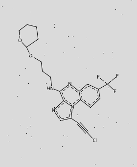 FC(F)(F)c1ccc2c(c1)nc(NCCCOC1CCCCO1)c1ncc(C#CCl)n12